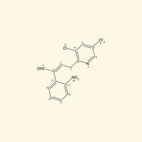 O=CC(=CCc1ncc(C(F)(F)F)cc1Cl)c1ccccc1[N+](=O)[O-]